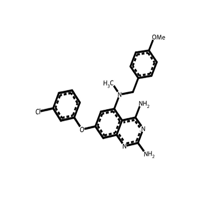 COc1ccc(CN(C)c2cc(Oc3cccc(Cl)c3)cc3nc(N)nc(N)c23)cc1